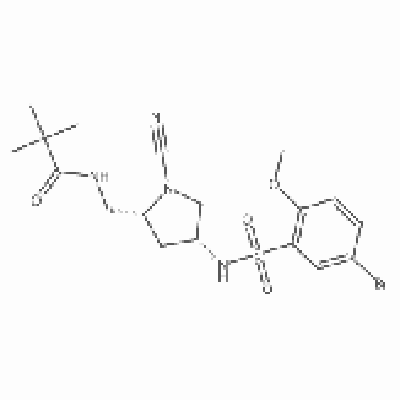 COc1ccc(Br)cc1S(=O)(=O)N[C@@H]1C[C@H](CNC(=O)C(C)(C)C)N(C#N)C1